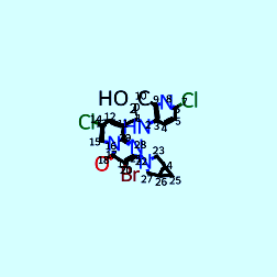 C[C@@H](Nc1ccc(Cl)nc1C(=O)O)c1cc(Cl)cn2c(=O)c(Br)c(N3CC4CC4C3)nc12